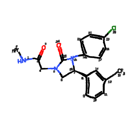 CCCNC(=O)CN1C[C@H](c2cccc(C(F)(F)F)c2)N(c2ccc(Cl)cc2)C1=O